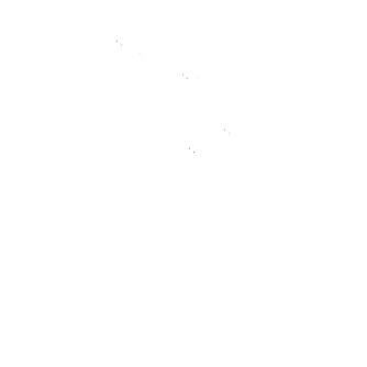 NC(=O)CC(N)Cc1nc(-c2ccc(Oc3ccc(Cl)cc3)cc2)no1